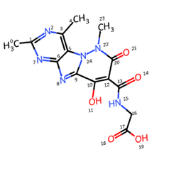 Cc1nc(C)c2c(n1)nc1c(O)c(C(=O)NCC(=O)O)c(=O)n(C)n12